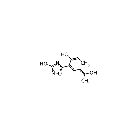 C\C=C(O)/C(=C\C=C(/C)O)c1nc(O)no1